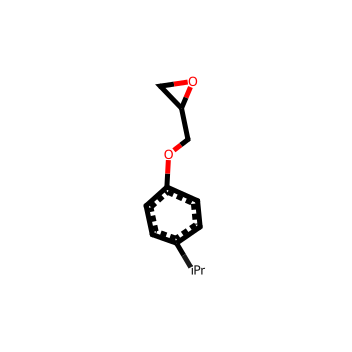 CC(C)c1ccc(OCC2CO2)cc1